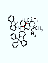 CC1(C)CCC(C)(C)c2cc(-c3cc4c(cc3N(c3ccccc3)c3cccc5c3oc3ccccc35)C(c3ccccc3)(c3ccccc3)c3ccccc3-4)ccc21